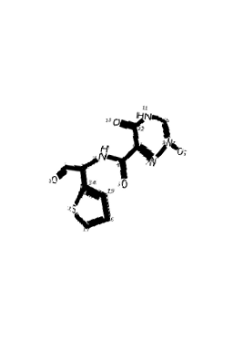 O=[C]C(NC(=O)c1n[n+]([O-])c[nH]c1=O)c1cccs1